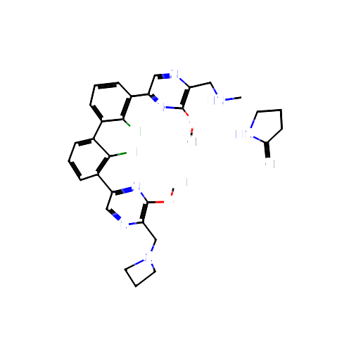 C=C1CC[C@@H](CNCc2ncc(-c3cccc(-c4cccc(-c5cnc(CN6CCC6)c(OC)n5)c4Cl)c3Cl)nc2OC)N1